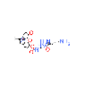 CN(CCNC(=O)[C@@H](N)CCCCN)C(=O)Oc1ccc2c3c1OC1C(=O)CCC4[C@@H](C2)N(C)C[C@]314